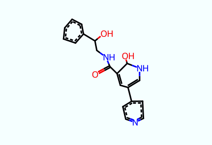 O=C(NCC(O)c1ccccc1)C1=CC(c2ccncc2)=CNC1O